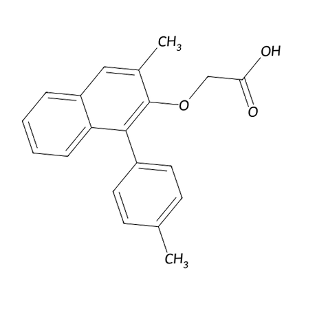 Cc1ccc(-c2c(OCC(=O)O)c(C)cc3ccccc23)cc1